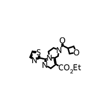 CCOC(=O)C1=C2CN(C(=O)C3COC3)CCN2C(c2nccs2)=NC1